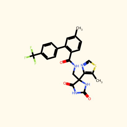 Cc1ccc(C(=O)NCC2(c3ncsc3C)NC(=O)NC2=O)c(-c2ccc(C(F)(F)F)cc2)c1